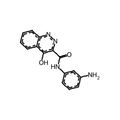 Nc1cccc(NC(=O)c2nnc3ccccc3c2O)c1